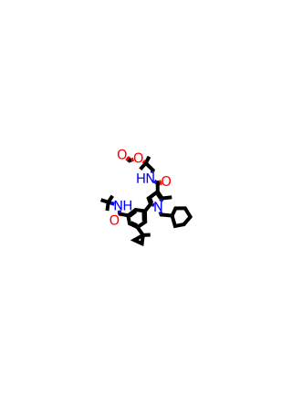 Cc1c(C(=O)NCC(C)(C)OC=O)cc(-c2cc(C(=O)NC(C)(C)C)cc(C3(C)CC3)c2)n1CC1CCCCC1